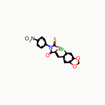 O=C1C(=Cc2cc3c(cc2Br)OCO3)SC(=S)N1c1ccc([N+](=O)[O-])cc1